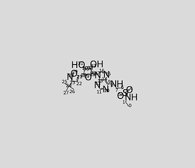 CCNS(=O)(=O)CCNc1ncnc2c1ncn2[C@@H]1O[C@H](c2cc(C(C)(C)C)no2)[C@@H](O)[C@@H]1O